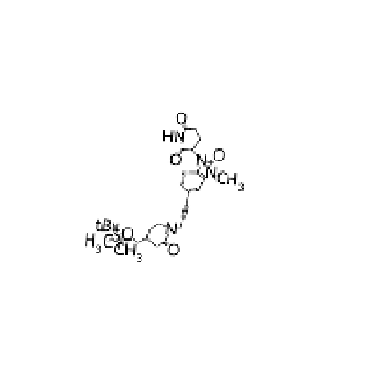 Cn1c(=O)n(C2CCC(=O)NC2=O)c2ccc(C#CCN3CCC(CO[Si](C)(C)C(C)(C)C)CC3=O)cc21